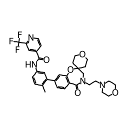 Cc1ccc(NC(=O)c2ccnc(C(F)(F)F)c2)cc1-c1ccc2c(c1)OC1(CCOCC1)CN(CCN1CCOCC1)C2=O